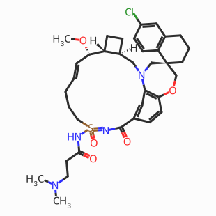 CO[C@H]1/C=C/CCCS(=O)(NC(=O)CCN(C)C)=NC(=O)c2ccc3c(c2)N(C[C@@H]2CC[C@H]21)C[C@@]1(CCCc2cc(Cl)ccc21)CO3